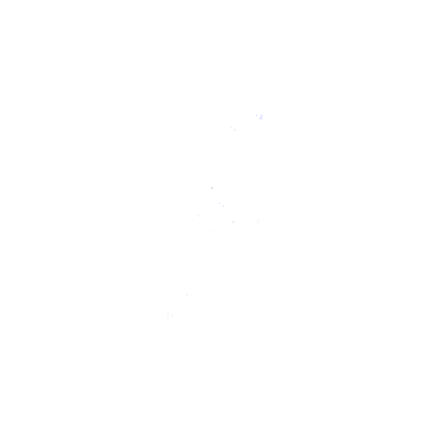 Cl.Cl.c1cc2c(cc1OCCN1CCNCC1)[nH]c1cc(OCCN3CCNCC3)ccc12